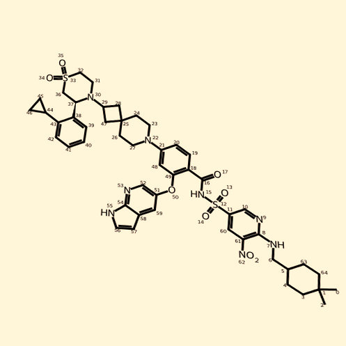 CC1(C)CCC(CNc2ncc(S(=O)(=O)NC(=O)c3ccc(N4CCC5(CC4)CC(N4CCS(=O)(=O)C[C@@H]4c4ccccc4C4CC4)C5)cc3Oc3cnc4[nH]ccc4c3)cc2[N+](=O)[O-])CC1